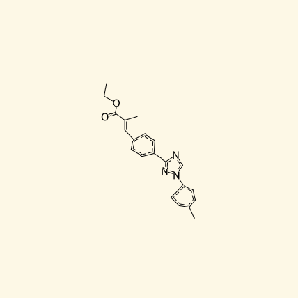 CCOC(=O)/C(C)=C/c1ccc(-c2ncn(-c3ccc(C)cc3)n2)cc1